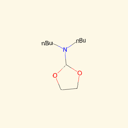 CCCCN(CCCC)C1OCCO1